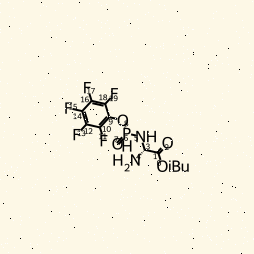 CC(C)COC(=O)[C@H](N)N[PH](=O)Oc1c(F)c(F)c(F)c(F)c1F